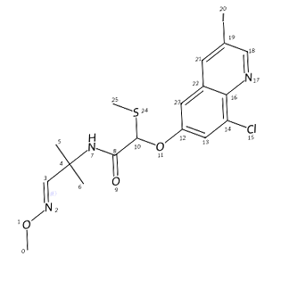 CO/N=C/C(C)(C)NC(=O)C(Oc1cc(Cl)c2ncc(I)cc2c1)SC